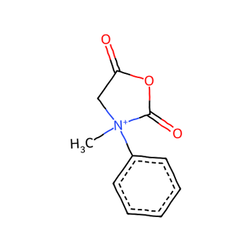 C[N+]1(c2ccccc2)CC(=O)OC1=O